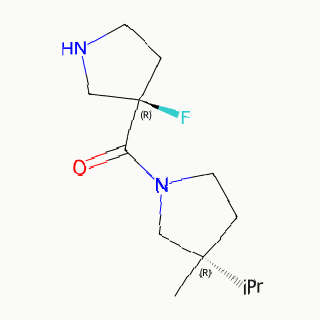 CC(C)[C@@]1(C)CCN(C(=O)[C@@]2(F)CCNC2)C1